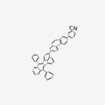 N#Cc1cccc(-c2ccc3c(ccc4cc(-c5ccc6c7c(cccc57)-c5c-6c(-c6ccccc6)c6ccccc6c5-c5ccccc5)ccc43)c2)c1